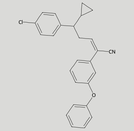 N#CC(=CCC(c1ccc(Cl)cc1)C1CC1)c1cccc(Oc2ccccc2)c1